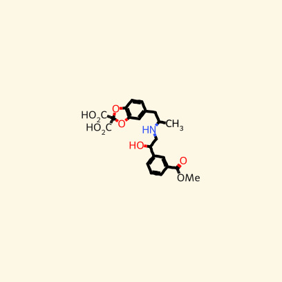 COC(=O)c1cccc(C(O)CNC(C)Cc2ccc3c(c2)OC(C(=O)O)(C(=O)O)O3)c1